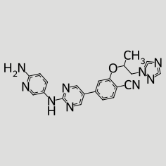 CC(Cn1cncn1)Oc1cc(-c2cnc(Nc3ccc(N)nc3)nc2)ccc1C#N